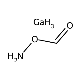 NOC=O.[GaH3]